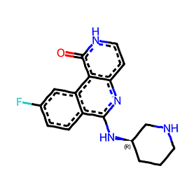 O=c1[nH]ccc2nc(N[C@@H]3CCCNC3)c3ccc(F)cc3c12